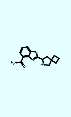 NC(=O)c1cccc2oc(C3CC4(CCC4)CN3)nc12